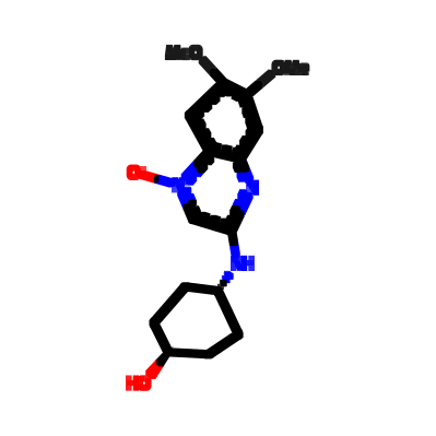 COc1cc2nc(N[C@H]3CC[C@H](O)CC3)c[n+]([O-])c2cc1OC